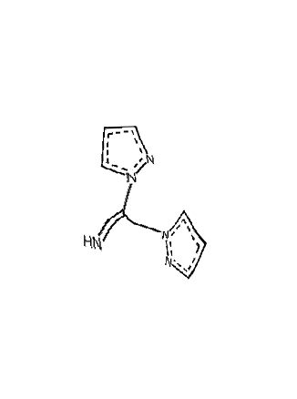 N=C(n1cccn1)n1cccn1